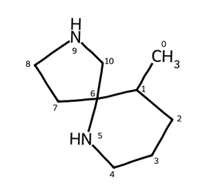 CC1CCCNC12CCNC2